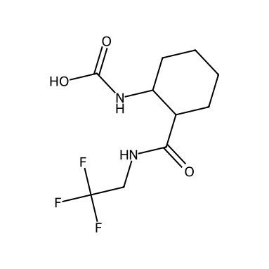 O=C(O)NC1CCCCC1C(=O)NCC(F)(F)F